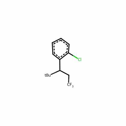 CC(C)(C)C(CC(F)(F)F)c1ccccc1Cl